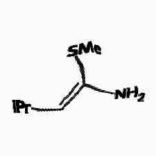 CS/C(N)=C\C(C)C